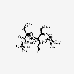 C=CCC(O)C(=O)CO.CCCCCC(O)C(=O)CO.O=P(O)(O)O.O=P(O)(O)O